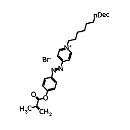 C=C(C)C(=O)Oc1ccc(/N=N/c2cc[n+](CCCCCCCCCCCCCCCC)cc2)cc1.[Br-]